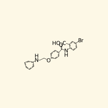 O=C(Nc1ccc(Br)cc1C(=O)O)c1ccc(OCCNc2ccccc2)cc1